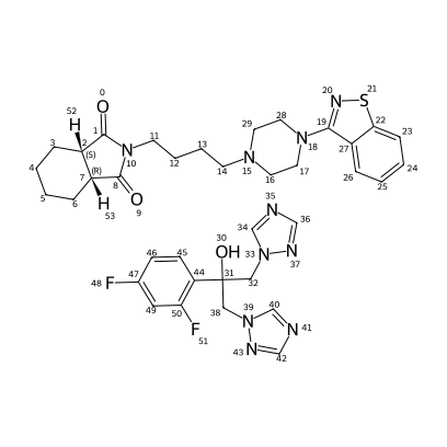 O=C1[C@H]2CCCC[C@H]2C(=O)N1CCCCN1CCN(c2nsc3ccccc23)CC1.OC(Cn1cncn1)(Cn1cncn1)c1ccc(F)cc1F